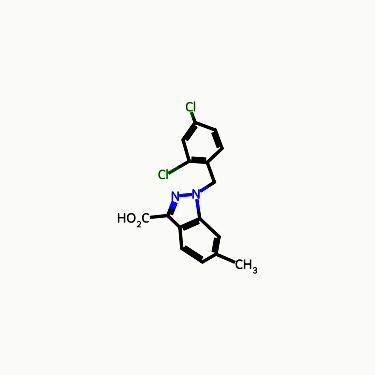 Cc1ccc2c(C(=O)O)nn(Cc3ccc(Cl)cc3Cl)c2c1